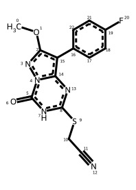 COc1nn2c(=O)[nH]c(SCC#N)nc2c1-c1ccc(F)cc1